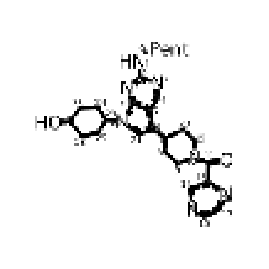 CCCC(C)Nc1ncc2c(C3CCN(C(=O)c4cnccn4)CC3)cn(C3CCC(O)CC3)c2n1